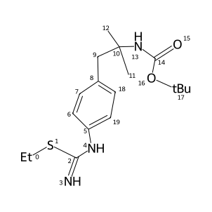 CCSC(=N)Nc1ccc(CC(C)(C)NC(=O)OC(C)(C)C)cc1